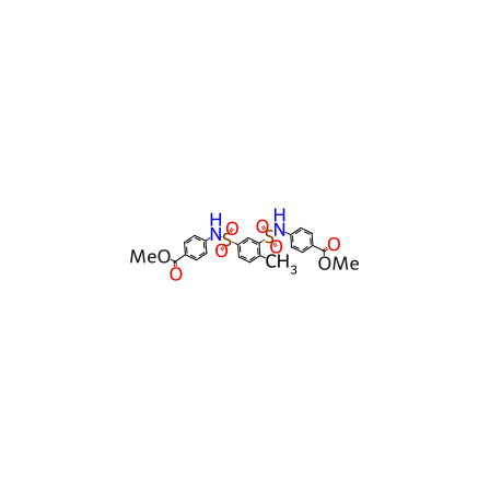 COC(=O)c1ccc(NS(=O)(=O)c2ccc(C)c(S(=O)(=O)Nc3ccc(C(=O)OC)cc3)c2)cc1